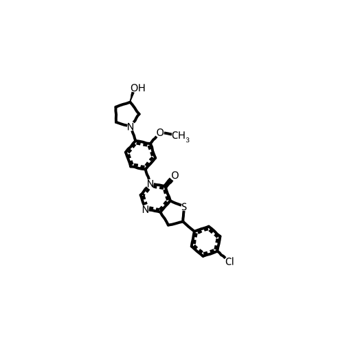 COc1cc(-n2cnc3c(c2=O)SC(c2ccc(Cl)cc2)C3)ccc1N1CC[C@@H](O)C1